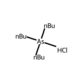 CCCC[As](C)(CCCC)CCCC.Cl